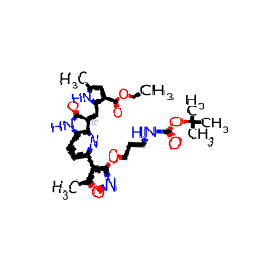 CCOC(=O)c1cc(C)[nH]c1/C=C1\C(=O)Nc2ccc(-c3c(OCCCNC(=O)OC(C)(C)C)noc3C)nc21